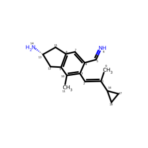 C/C(=C\c1c(C=N)cc2c(c1C)C[C@H](N)C2)C1CC1